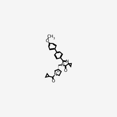 COc1ccc(-c2ccc(C3=NC4(CC4)C(=O)N3C[C@@H]3CCN(C(=O)C4CC4)C3)cc2)cc1